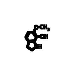 COc1ccc2c(c1O)NCC2